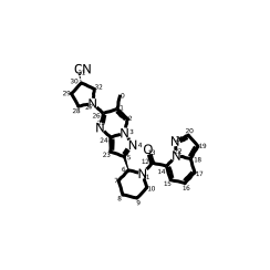 Cc1cn2nc([C@@H]3CCCCN3C(=O)c3cccc4ccnn34)cc2nc1N1CC[C@H](C#N)C1